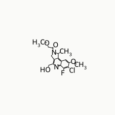 COCC(=O)N1Cc2c(CO)nc3c(F)c(Cl)c(OC)cc3c2[C@@H]1C